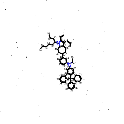 C=CC1=C(/C=C\C)C2CCC(C3=CC=CC(N(CC)c4ccc5c(c4)-c4ccccc4C5(c4ccccc4)C4C=CC=CC4)C3)CCC2N1C(CCC)CCCCC